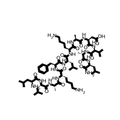 CC(C)C[C@H](NC(=O)[C@H](C)NC(=O)[C@@H](NC(=O)[C@H](CC(=O)O)NC(=O)[C@H](C)NC(=O)[C@H](CCCCN)NC(=O)[C@H](CC(C)C)NC(=O)[C@H](Cc1ccccc1)NC(=O)[C@H](CCCCN)NC(=O)[C@H](C)NC(=O)[C@H](CC(C)C)NC(=O)[C@@H](N)CC(C)C)C(C)C)C(N)=O